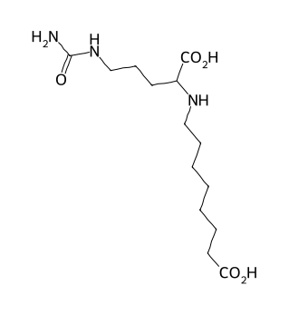 NC(=O)NCCCC(NCCCCCCCC(=O)O)C(=O)O